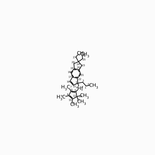 CCC[C]1([Hf][C]2=C(C)C(C)=C(C)C2(C)C)C=Cc2cc3c(cc21)CC(CC)(CC)C3